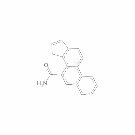 NC(=O)c1cc2ccccc2c2ccc3c(c12)CC=C3